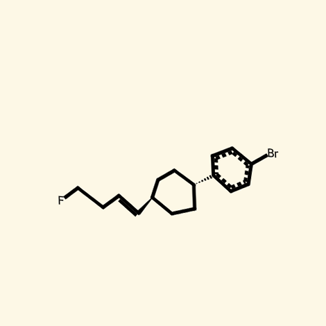 FCC/C=C/[C@H]1CC[C@H](c2ccc(Br)cc2)CC1